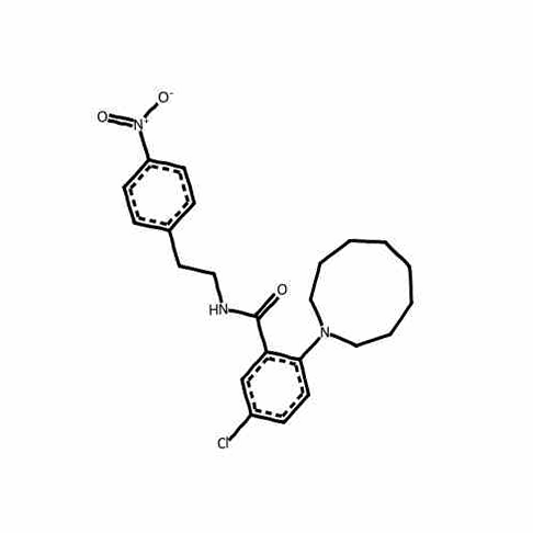 O=C(NCCc1ccc([N+](=O)[O-])cc1)c1cc(Cl)ccc1N1CCCCCCCC1